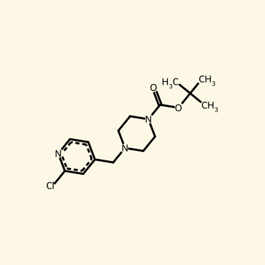 CC(C)(C)OC(=O)N1CCN(Cc2ccnc(Cl)c2)CC1